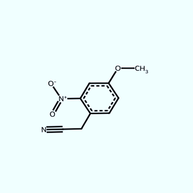 COc1ccc(CC#N)c([N+](=O)[O-])c1